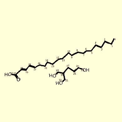 CCCCCCCCCCCCCCCCCC=CC=CC(=O)O.OCCCC(CO)CO